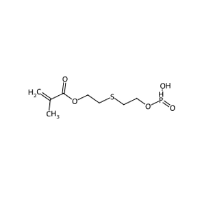 C=C(C)C(=O)OCCSCCO[PH](=O)O